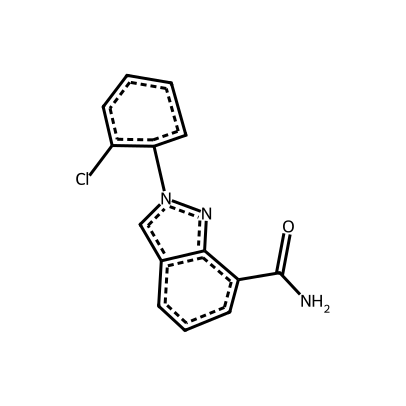 NC(=O)c1cccc2cn(-c3ccccc3Cl)nc12